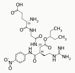 CCC(CC)OC(=O)[C@@H](NC(=O)CNC(=O)[C@@H](N)CCC(=O)O)[C@@H](CCNC(=N)N)C(=O)Nc1ccc([N+](=O)[O-])cc1